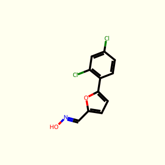 ON=Cc1ccc(-c2ccc(Cl)cc2Cl)o1